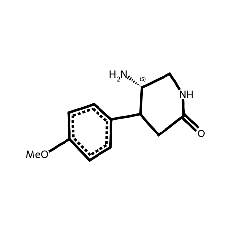 COc1ccc(C2CC(=O)NC[C@H]2N)cc1